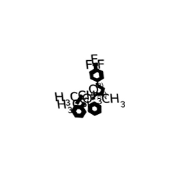 C[C@H]1C[C@H](C2C=CC(C(F)(F)F)=CC2)O[C@@H]1CO[Si](c1ccccc1)(c1ccccc1)C(C)(C)C